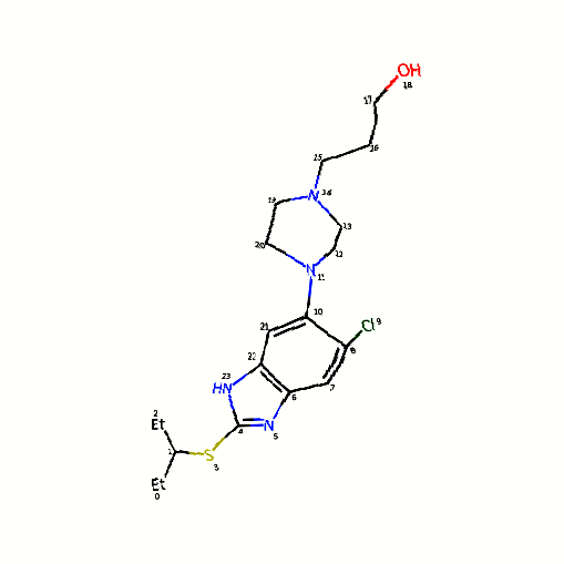 CCC(CC)Sc1nc2cc(Cl)c(N3CCN(CCCO)CC3)cc2[nH]1